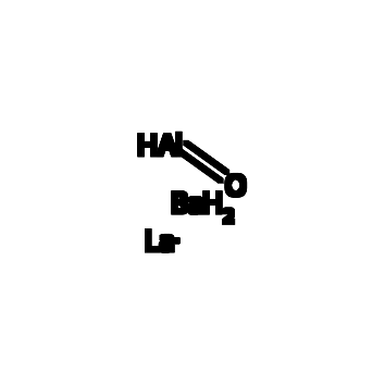 [BaH2].[La].[O]=[AlH]